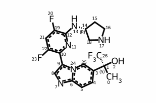 C[C@](O)(c1ccc2ncc(-c3nc(N[C@@H]4CCNC4)c(F)cc3F)n2c1)C(F)(F)F